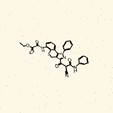 CCOC(=O)C(=O)Nc1cccc2c1SCc1c(C(=O)C(C#N)C(=O)Nc3ccccc3)nn(-c3ccccc3)c1-2